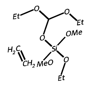 C=C.CCOC(OCC)O[Si](OC)(OC)OCC